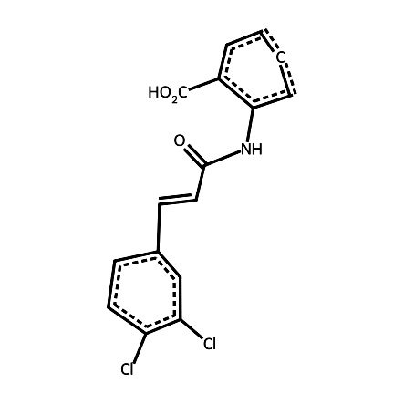 O=C(C=Cc1ccc(Cl)c(Cl)c1)Nc1ccccc1C(=O)O